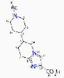 CC(=O)N1CCC(C2CCc3nc(C(=O)O)cn3C2)CC1